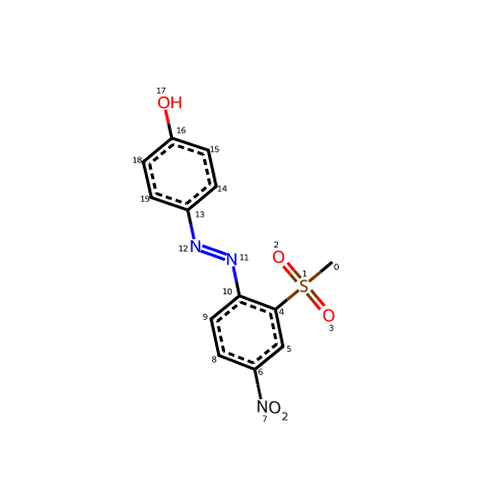 CS(=O)(=O)c1cc([N+](=O)[O-])ccc1N=Nc1ccc(O)cc1